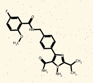 COc1ccc(F)cc1C(=O)NCc1ccc(-c2nc(C(C)C)n(N)c2C(N)=O)cc1